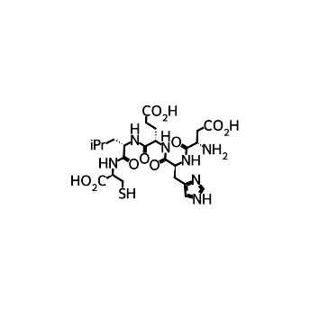 CC(C)C[C@H](NC(=O)[C@H](CCC(=O)O)NC(=O)[C@H](Cc1c[nH]cn1)NC(=O)[C@@H](N)CC(=O)O)C(=O)N[C@@H](CS)C(=O)O